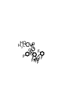 CC1(O)CCN(C(=O)N2CC[C@](c3ccc(C(OCc4c(F)cccc4F)(C(F)(F)F)C(F)(F)F)cc3)(S(=O)(=O)c3ccc(F)cc3)C2)CC1